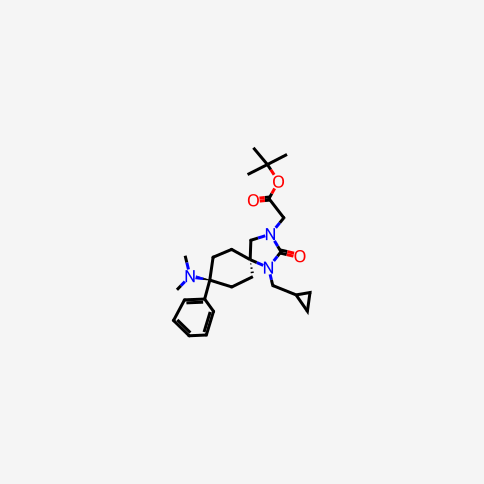 CN(C)[C@]1(c2ccccc2)CC[C@]2(CC1)CN(CC(=O)OC(C)(C)C)C(=O)N2CC1CC1